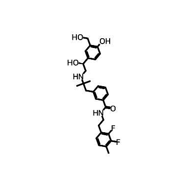 Cc1ccc(CCNC(=O)c2cccc(CC(C)(C)NC[C@@H](O)c3ccc(O)c(CO)c3)c2)c(F)c1F